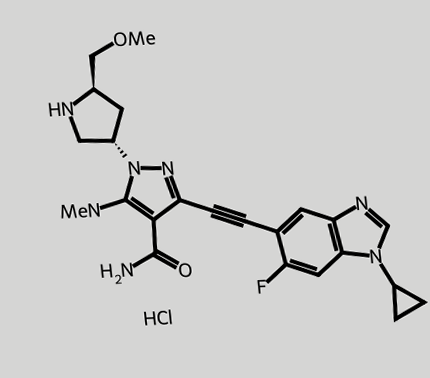 CNc1c(C(N)=O)c(C#Cc2cc3ncn(C4CC4)c3cc2F)nn1[C@@H]1CN[C@@H](COC)C1.Cl